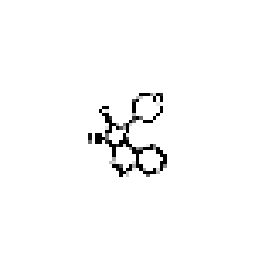 O=c1[nH]c2nnc3ccccc3c2n1C1CCOCC1